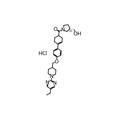 CCc1cnc(N2CCC(COc3ccc(C4=CCC(C(=O)N5CC[C@H](CO)C5)CC4)cc3)CC2)nc1.Cl